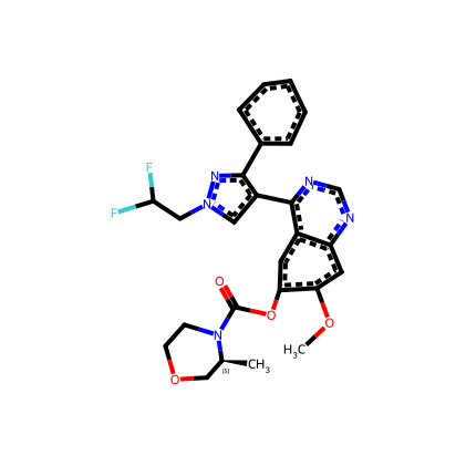 COc1cc2ncnc(-c3cn(CC(F)F)nc3-c3ccccc3)c2cc1OC(=O)N1CCOC[C@@H]1C